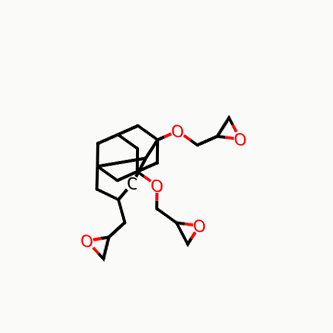 C1OC1COC12CC3CC4(CC(CC5CO5)CC4C(OCC4CO4)(C3)C1)C2